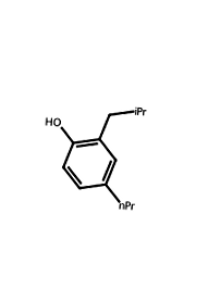 CCCc1ccc(O)c(CC(C)C)c1